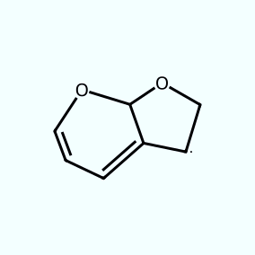 [CH]1COC2OC=CC=C12